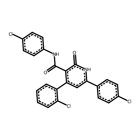 O=C(Nc1ccc(Cl)cc1)c1c(-c2ccccc2Cl)cc(-c2ccc(Cl)cc2)[nH]c1=O